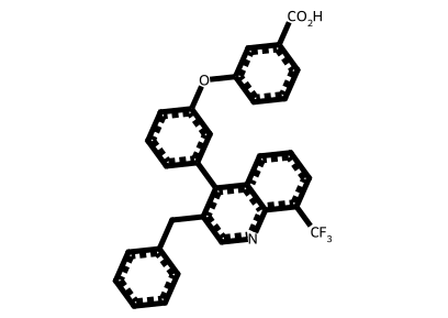 O=C(O)c1cccc(Oc2cccc(-c3c(Cc4ccccc4)cnc4c(C(F)(F)F)cccc34)c2)c1